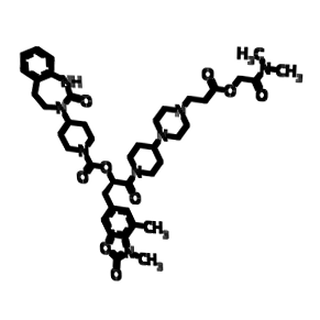 Cc1cc(C[C@@H](OC(=O)N2CCC(N3CCc4ccccc4NC3=O)CC2)C(=O)N2CCC(N3CCN(CCC(=O)OCC(=O)N(C)C)CC3)CC2)cc2oc(=O)n(C)c12